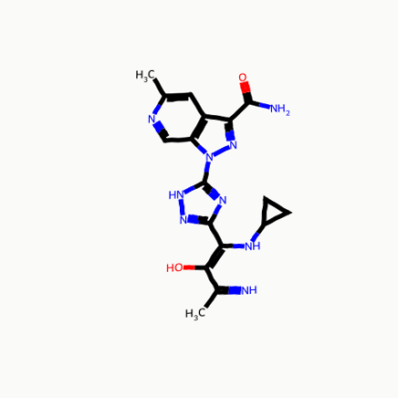 CC(=N)/C(O)=C(\NC1CC1)c1n[nH]c(-n2nc(C(N)=O)c3cc(C)ncc32)n1